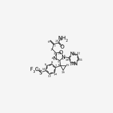 C=C(CC1=NC(C2(c3ccc(SC(F)(F)F)cc3)CC2)N(c2cnccn2)O1)C(N)=O